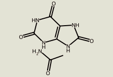 CC(N)=O.O=c1[nH]c(=O)c2[nH]c(=O)[nH]c2[nH]1